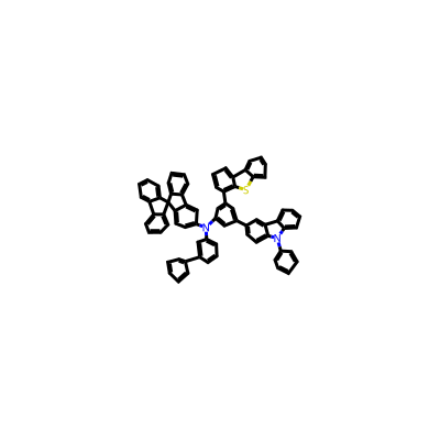 c1ccc(-c2cccc(N(c3cc(-c4ccc5c(c4)c4ccccc4n5-c4ccccc4)cc(-c4cccc5c4sc4ccccc45)c3)c3ccc4c(c3)-c3ccccc3C43c4ccccc4-c4ccccc43)c2)cc1